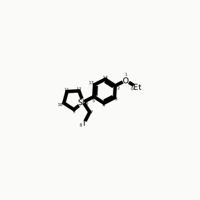 CCOc1ccc([Si]2(CI)CCCC2)cc1